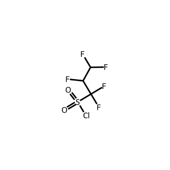 O=S(=O)(Cl)C(F)(F)C(F)C(F)F